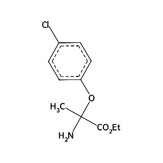 CCOC(=O)C(C)(N)Oc1ccc(Cl)cc1